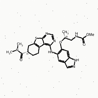 COC(=O)NC[C@@H](C)Oc1cc2[nH]ncc2cc1Nc1ncnc2sc3c(c12)CC[C@H](C(=O)N(C)C)C3